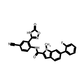 Cn1c(C(=O)Nc2ccc(C#N)cc2-c2noc(=O)[nH]2)cc2ccc(-c3ccccc3F)cc21